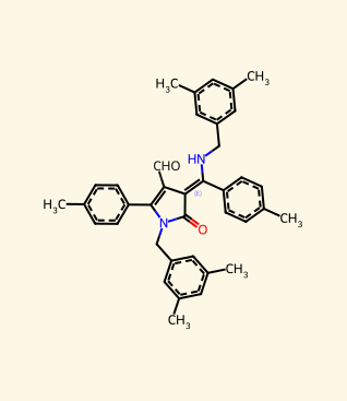 Cc1ccc(C2=C(C=O)/C(=C(\NCc3cc(C)cc(C)c3)c3ccc(C)cc3)C(=O)N2Cc2cc(C)cc(C)c2)cc1